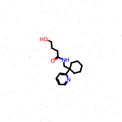 O=C(CCCO)NCC1(c2ccccn2)CCCCC1